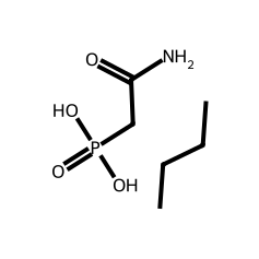 CCCC.NC(=O)CP(=O)(O)O